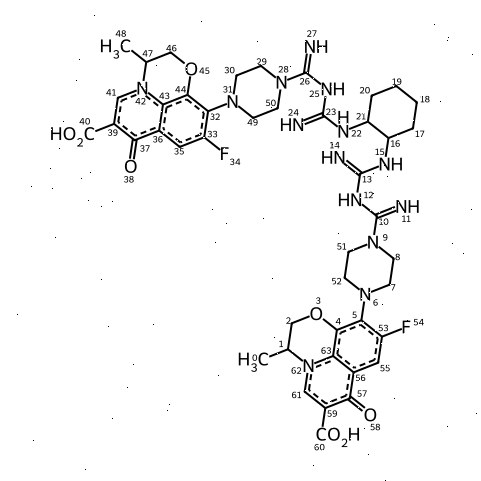 CC1COc2c(N3CCN(C(=N)NC(=N)NC4CCCCC4NC(=N)NC(=N)N4CCN(c5c(F)cc6c(=O)c(C(=O)O)cn7c6c5OCC7C)CC4)CC3)c(F)cc3c(=O)c(C(=O)O)cn1c23